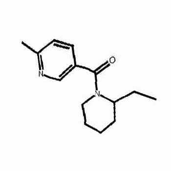 CCC1CCCCN1C(=O)c1ccc(C)nc1